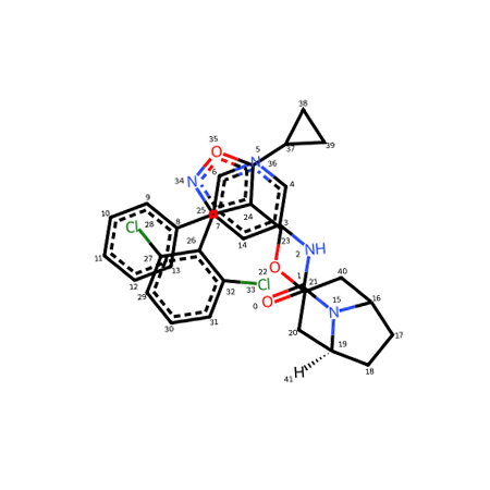 O=C(Nc1cncc(-c2ccccc2)c1)N1C2CC[C@H]1CC(OCc1c(-c3c(Cl)cccc3Cl)noc1C1CC1)C2